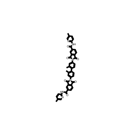 Cc1ccc(NC(=O)c2ccc3c(c2)C(=O)N(c2ccc(-c4ccc(N5C(=O)c6ccc(C(=O)Nc7ccc(C)cn7)cc6C5=O)cc4C)c(C)c2)C3=O)nc1